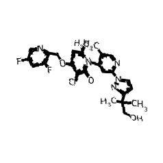 Cc1cnc(-n2ccc(C(C)(C)CO)n2)cc1-n1c(C)cc(OCc2ncc(F)cc2F)c(Cl)c1=O